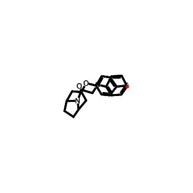 O=C(COc1ccccc1)N1C2CCC1CC(Oc1ccc(F)cc1)C2